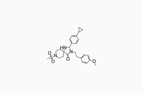 COc1ccc(CCN2C(=O)C3(CCN(S(C)(=O)=O)CC3)NC2c2ccc(C3CC3)cc2)cc1